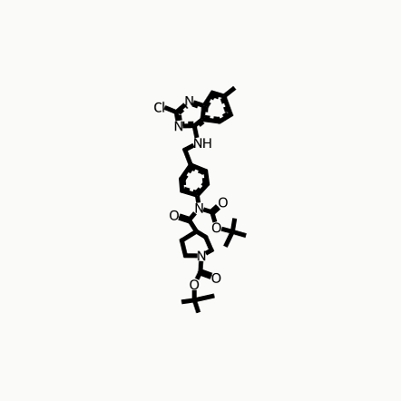 Cc1ccc2c(NCc3ccc(N(C(=O)OC(C)(C)C)C(=O)C4CCN(C(=O)OC(C)(C)C)CC4)cc3)nc(Cl)nc2c1